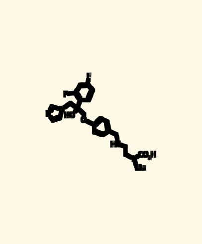 CC(C)(C)N(CCNCc1ccc(OCC(O)(Cn2ccnc2)c2ccc(F)cc2F)cc1)C(=O)O